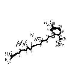 CC(C)=CCC/C(C)=C/CC/C(C)=C/COc1cc(C)ccc1C(=O)OC(C)C